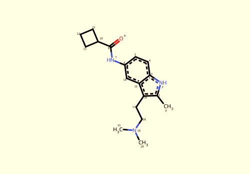 Cc1[nH]c2ccc(NC(=O)C3CCC3)cc2c1CCN(C)C